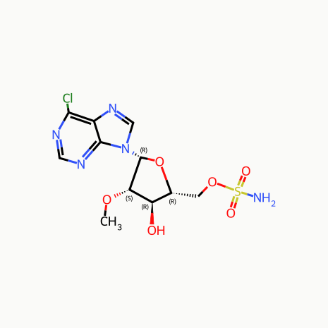 CO[C@H]1[C@H](O)[C@@H](COS(N)(=O)=O)O[C@H]1n1cnc2c(Cl)ncnc21